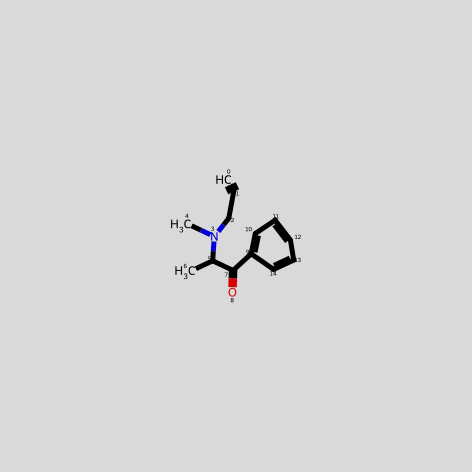 C#CCN(C)C(C)C(=O)c1ccccc1